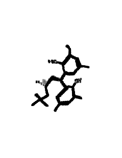 Cc1cc(C)c(O)c(C(C[C@@H](C)CC(C)(C)C)c2cc(C)cc(C)c2O)c1